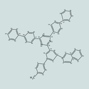 Cc1ccc(-c2cc(-c3ccc4ccccc4c3)cc(-c3nc(-c4ccc(-c5ccccc5)cc4)nc(-c4ccc(-c5ccccc5)cc4)n3)c2)cc1